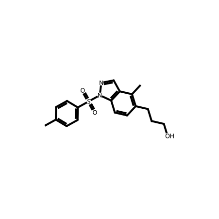 Cc1ccc(S(=O)(=O)n2ncc3c(C)c(CCCO)ccc32)cc1